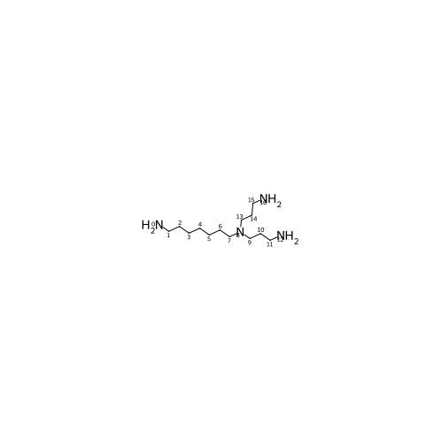 NCCCCCCCN(CCCN)CCCN